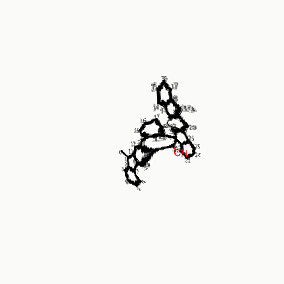 CC1c2ccccc2-c2cc3c(cc21)-c1ccccc1C1(c2ccccc2-c2cc4c(cc21)-c1ccccc1C4)C3O